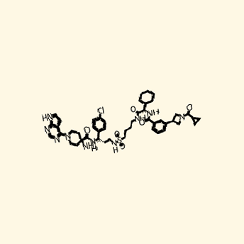 NC1(C(=O)N[C@@H](CCNS(=O)(=O)CCCCNC(=O)[C@H](NC(=O)c2cccc(C3CN(C(=O)C4CC4)C3)c2)C2CCCCC2)c2ccc(Cl)cc2)CCN(c2ncnc3[nH]ccc23)CC1